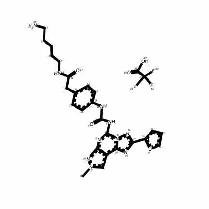 Cn1cc2c(nc(NC(=O)Nc3ccc(CC(=O)NCCCCCN)cc3)n3nc(-c4ccco4)nc23)n1.O=C(O)C(F)(F)F